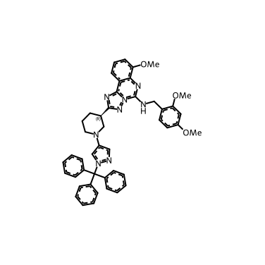 COc1ccc(CNc2nc3c(OC)cccc3c3nc([C@@H]4CCCN(c5cnn(C(c6ccccc6)(c6ccccc6)c6ccccc6)c5)C4)nn23)c(OC)c1